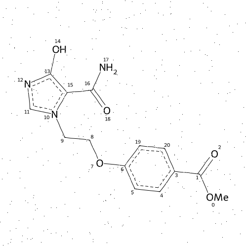 COC(=O)c1ccc(OCCn2cnc(O)c2C(N)=O)cc1